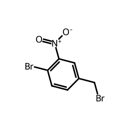 O=[N+]([O-])c1cc(CBr)ccc1Br